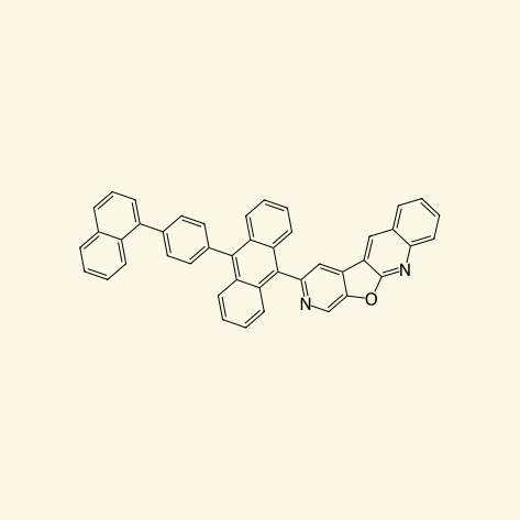 c1ccc2nc3oc4cnc(-c5c6ccccc6c(-c6ccc(-c7cccc8ccccc78)cc6)c6ccccc56)cc4c3cc2c1